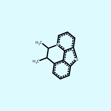 CC1c2cccc3sc4ccc[n+](c4c23)C1C